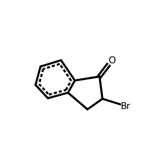 O=C1c2ccccc2CC1Br